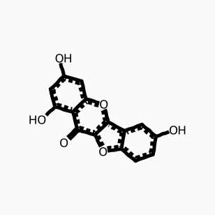 O=c1c2oc3ccc(O)cc3c2oc2cc(O)cc(O)c12